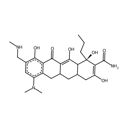 CCC[C@]1(O)C(C(N)=O)=C(O)CC2CC3Cc4c(N(C)C)cc(CNC)c(O)c4C(=O)C3=C(O)C21